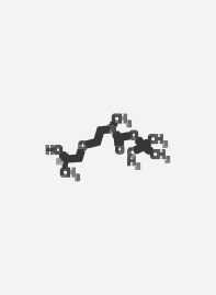 C[C@@H](O)COCCN(C)C(=O)OC(C)(C)C